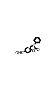 O=C[C@H]1CC[C@@]2(CC1)CN(c1ccccc1)C(=O)O2